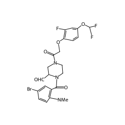 CNc1ccc(Br)cc1C(=O)N1CCN(C(=O)COc2ccc(OC(F)F)cc2F)CC1C=O